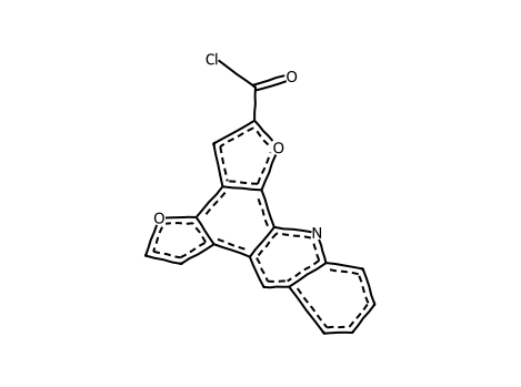 O=C(Cl)c1cc2c3occc3c3cc4ccccc4nc3c2o1